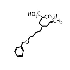 C=CCC(CCCCOCc1ccccc1)CC(C(=O)O)C(=O)O